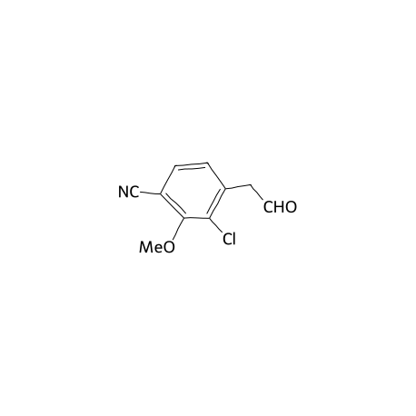 COc1c(C#N)ccc(CC=O)c1Cl